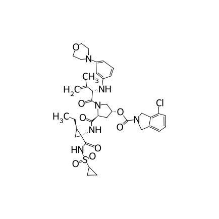 C=C(C)[C@H](Nc1cccc(N2CCOCC2)c1)C(=O)N1C[C@H](OC(=O)N2Cc3cccc(Cl)c3C2)C[C@H]1C(=O)N[C@]1(C(=O)NS(=O)(=O)C2CC2)C[C@H]1CC